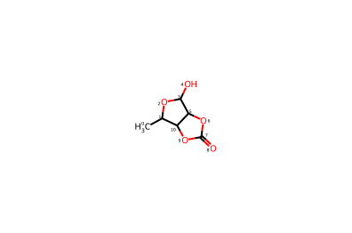 CC1OC(O)C2OC(=O)OC12